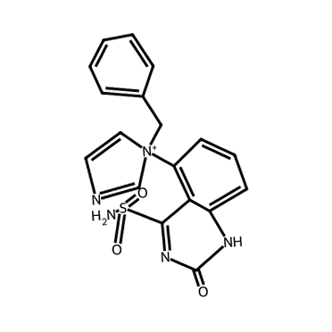 NS(=O)(=O)c1nc(=O)[nH]c2cccc([N+]3(Cc4ccccc4)C=CN=C3)c12